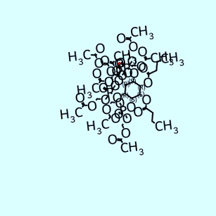 CCCC(=O)O[C@@H]1[C@H](OC(=O)CCC)[C@H](OP(=O)(OCOC(C)=O)OCOC(C)=O)[C@@H](OP(=O)(OCOC(C)=O)OCOC(C)=O)[C@H](OP(=O)(OCOC(C)=O)OCOC(C)=O)[C@H]1OP(=O)(OCOC(C)=O)OCOC(C)=O